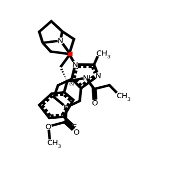 CCC(=O)N[C@@H](CCN1C2CCC1CC(n1c(C)nc3c1CCN(C(=O)OC)C3)C2)c1cccc(F)c1